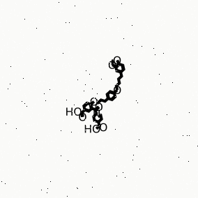 O=C(O)c1ccc(OCCCc2ccc(OCCCCc3ccc4c(c3)OCO4)cc2)c(C(=O)N2CCC(C(=O)O)CC2)c1